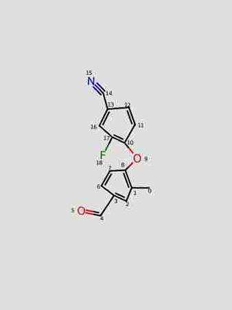 Cc1cc(C=O)ccc1Oc1ccc(C#N)cc1F